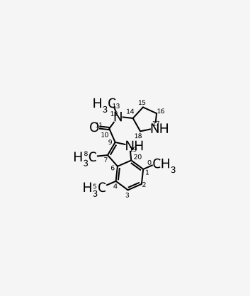 Cc1ccc(C)c2c(C)c(C(=O)N(C)C3CCNC3)[nH]c12